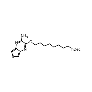 CCCCCCCCCCCCCCCCCCOc1nc2cscc2nc1C